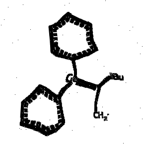 [CH2][C](C(C)CC)=[Ge]([c]1ccccc1)[c]1ccccc1